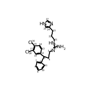 NC(=NCCC(c1ccccc1)c1ccc(Cl)c(Cl)c1)NCCCc1c[nH]cn1